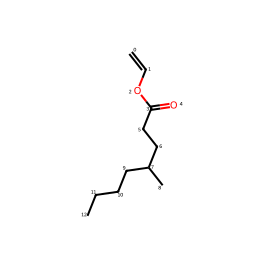 C=COC(=O)CCC(C)CCCC